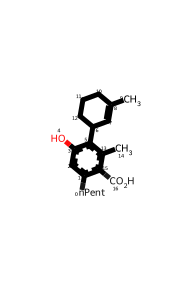 CCCCCc1cc(O)c(C2C=C(C)CCC2)c(C)c1C(=O)O